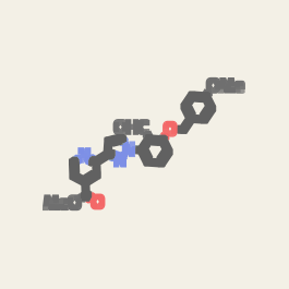 COC(=O)c1ccnc(-c2ccn(-c3cccc(OCc4ccc(OC)cc4)c3C=O)n2)c1